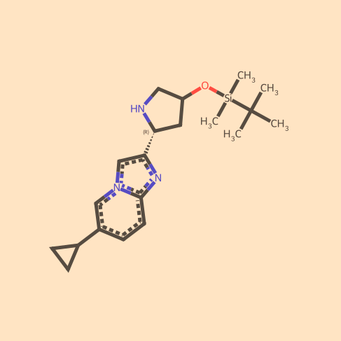 CC(C)(C)[Si](C)(C)OC1CN[C@@H](c2cn3cc(C4CC4)ccc3n2)C1